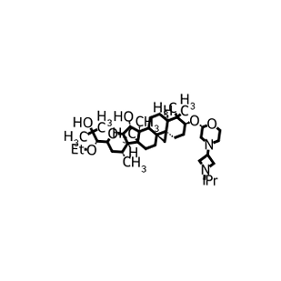 CCO[C@@H](C1C[C@@H](C)[C@H]2C(O1)[C@H](O)[C@@]1(C)C3CC[C@H]4C(C)(C)[C@@H](O[C@H]5CN(C6CN(C(C)C)C6)CCO5)CC[C@@]45C[C@@]35CC[C@]21C)C(C)(C)O